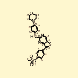 CS(=O)(=O)Nc1ccc(-c2csc3cnc(Nc4ccc(N5CCOCC5)cc4)nc23)cc1